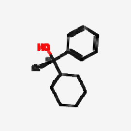 CC[C@@](O)(c1ccccc1)C1CCCCC1